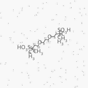 CC(C)(CCOCCCOCCC(C)(C)S(=O)(=O)O)S(=O)(=O)O